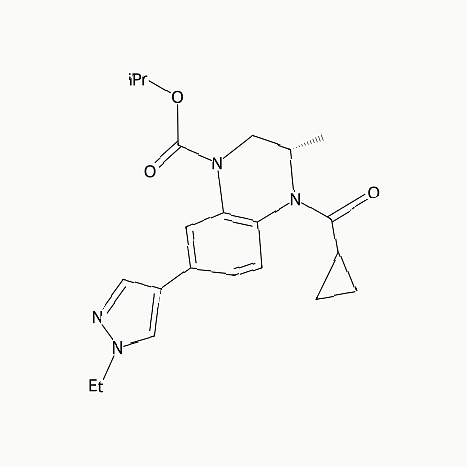 CCn1cc(-c2ccc3c(c2)N(C(=O)OC(C)C)C[C@H](C)N3C(=O)C2CC2)cn1